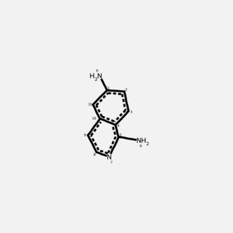 Nc1ccc2c(N)nccc2c1